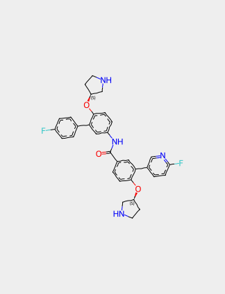 O=C(Nc1ccc(O[C@H]2CCNC2)c(-c2ccc(F)cc2)c1)c1ccc(O[C@H]2CCNC2)c(-c2ccc(F)nc2)c1